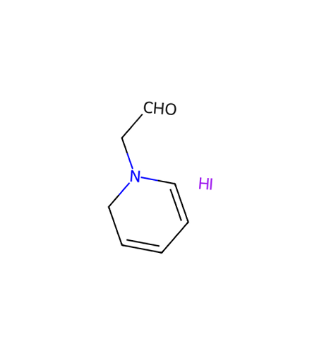 I.O=CCN1C=CC=CC1